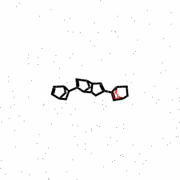 C1=CC2CC1CC2C1=CC2CC1C1CC(C3=CC4CCC3O4)=CC21